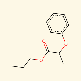 CCCOC(=O)C(C)Oc1ccccc1